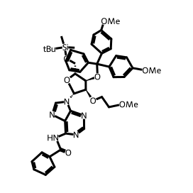 COCCO[C@@H]1[C@H](OC(c2ccccc2)(c2ccc(OC)cc2)c2ccc(OC)cc2)[C@@H](CO[Si](C)(C)C(C)(C)C)O[C@H]1n1cnc2c(NC(=O)c3ccccc3)ncnc21